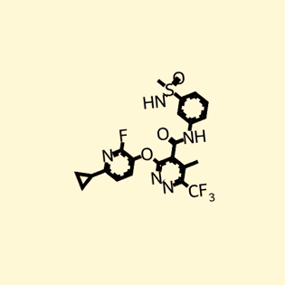 Cc1c(C(F)(F)F)nnc(Oc2ccc(C3CC3)nc2F)c1C(=O)Nc1cccc(S(C)(=N)=O)c1